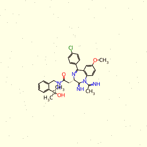 COc1ccc2c(c1)C(c1ccc(Cl)cc1)=N[C@@H](CC(=O)NCc1ccccc1[Si](C)(C)O)C(=N)N2C(C)=N